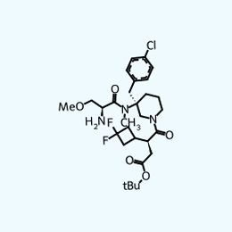 COC[C@H](N)C(=O)N(C)[C@@]1(Cc2ccc(Cl)cc2)CCCN(C(=O)[C@@H](CC(=O)OC(C)(C)C)C2CC(F)(F)C2)C1